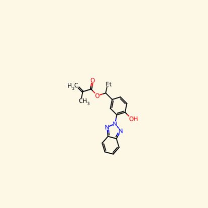 C=C(C)C(=O)OC(CC)c1ccc(O)c(-n2nc3ccccc3n2)c1